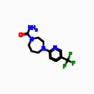 NC(=O)N1CCCN(c2ccc(C(F)(F)F)cn2)CC1